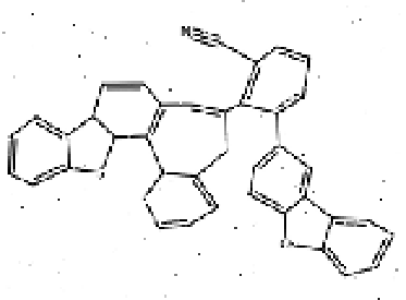 N#Cc1cccc(-c2ccc3oc4ccccc4c3c2)c1C1=CC2=C(C3CC=CC=C3C1)C1Sc3ccccc3C1C=C2